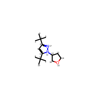 CC(C)(C)c1cc(C(C)(C)C)n(C2CCOC2)n1